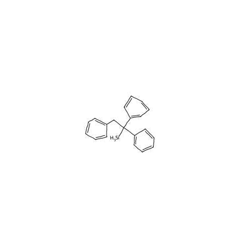 [SiH3]C(Cc1ccccc1)(c1ccccc1)c1ccccc1